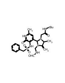 C=C1C(C)N(CC(=O)NC(C)(C)C)C(c2cc(C)[nH]c(=O)c2NS(=O)(=O)Cc2ccccc2)N1CNC=O